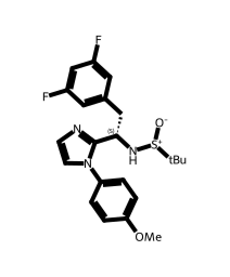 COc1ccc(-n2ccnc2[C@H](Cc2cc(F)cc(F)c2)N[S+]([O-])C(C)(C)C)cc1